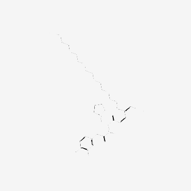 C=C(/C=C\C(=C/C)NCCOCCOCCOCCOCCOC)[C@@H](CN1CCCC1)N(C)C(=O)Cc1ccc(Cl)c(Cl)c1